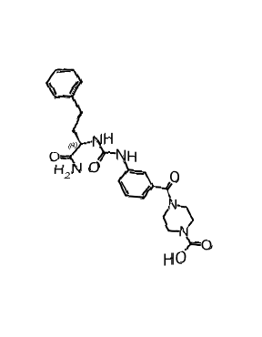 NC(=O)[C@@H](CCc1ccccc1)NC(=O)Nc1cccc(C(=O)N2CCN(C(=O)O)CC2)c1